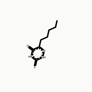 CCCCCc1n[nH]c(=S)[nH]c1=O